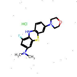 CN(C)c1cc(F)c2c(c1)Sc1cc(N3CCOCC3)ccc1N2.Cl